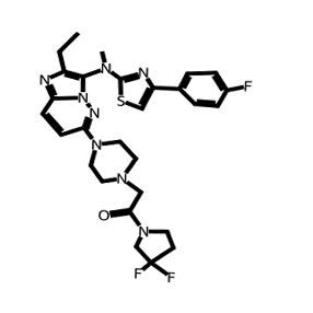 CCc1nc2ccc(N3CCN(CC(=O)N4CCC(F)(F)C4)CC3)nn2c1N(C)c1nc(-c2ccc(F)cc2)cs1